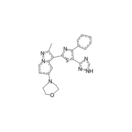 Cc1nn2ccc(N3CCOCC3)cc2c1-c1nc(-c2ccccc2)c(-c2nc[nH]n2)s1